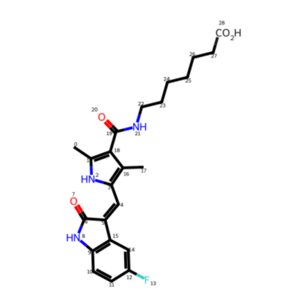 Cc1[nH]c(/C=C2\C(=O)Nc3ccc(F)cc32)c(C)c1C(=O)NCCCCCCC(=O)O